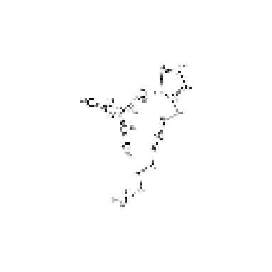 CCCCCCCCC1=CC=CC1.O=[C]=[Mn](=[C]=O)=[C]=O